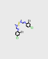 CCc1cc(Cl)ccc1N=CN(C)SSN(C)C=Nc1ccc(Cl)cc1CC